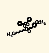 CCCCCCCCOC(=O)C=Cc1ccc(OC)cc1.O=C(CC(=O)c1ccccc1)c1ccccc1